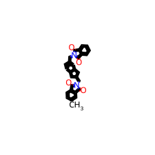 Cc1ccc2c(c1)C(=O)N(CC1CC3C4CC(CN5C(=O)c6ccccc6C5=O)C(C4)C3C1)C2=O